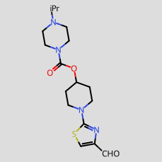 CC(C)N1CCN(C(=O)OC2CCN(c3nc(C=O)cs3)CC2)CC1